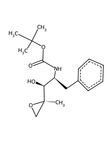 CC(C)(C)OC(=O)N[C@@H](Cc1ccccc1)[C@H](O)[C@@]1(C)CO1